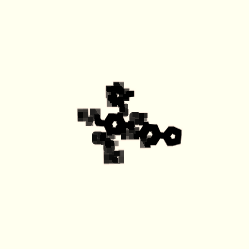 Cl.Cn1nnnc1Sc1cc(CN)c([N+](=O)[O-])cc1C(=O)Nc1ncc(C2CCCC2)cc1F